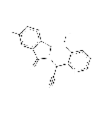 COc1cccnc1C(C#N)N1Cc2ccc(Br)cc2C1=O